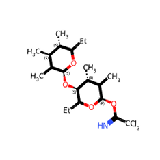 CCC1O[C@@H](O[C@@H]2C(CC)O[C@H](OC(=N)C(Cl)(Cl)Cl)C(C)[C@H]2C)C(C)[C@@H](C)[C@@H]1C